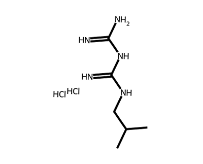 CC(C)CNC(=N)NC(=N)N.Cl.Cl